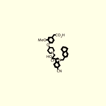 COc1cc(CC(=O)O)ccc1OC1CCN(CC(O)(c2cn(Cc3ccc4ccccc4c3)c3cc(C#N)ccc23)C(F)(F)F)CC1